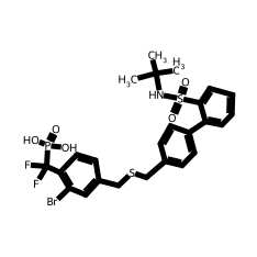 CC(C)(C)NS(=O)(=O)c1ccccc1-c1ccc(CSCc2ccc(C(F)(F)P(=O)(O)O)c(Br)c2)cc1